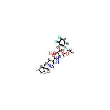 CC(C)(C)OC(=O)C[C@H](NC(=O)C1CCN(C(=O)C2(C)CCCC2)CC1)C(O)COc1c(F)c(F)cc(F)c1F